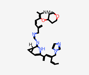 C=C(/C=C\C(OC1CCOCC1)=C(/C)NC)C/N=C\N=C1\NC(C(=C)/C=C(\C=C/C)Cn2ccnc2)=CC2C[C@H]12